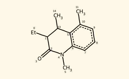 CCC1C(=O)N(C)c2cccc(C)c2C1C